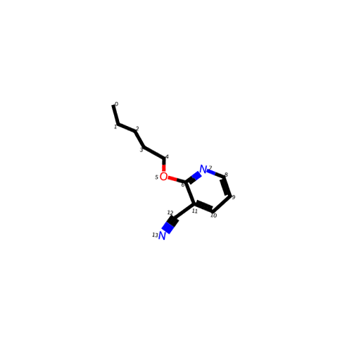 CCCCCOc1ncccc1C#N